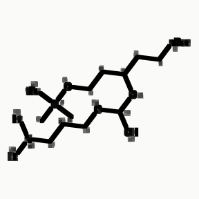 CCCCCCCCCCCCC(CCO[Si](C)(C)C(C)(C)C)OC(O)OCCCN(CC)CC